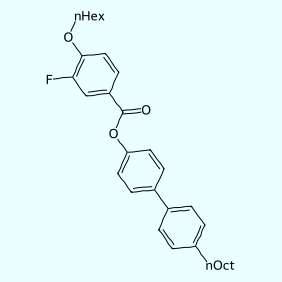 CCCCCCCCc1ccc(-c2ccc(OC(=O)c3ccc(OCCCCCC)c(F)c3)cc2)cc1